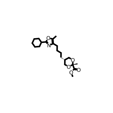 COC(=O)[C@]1(C)OC[C@H](CCCCc2nc(C3CCCCC3)oc2C)CO1